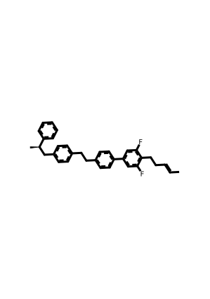 C/C=C/CCc1c(F)cc(-c2ccc(CCc3ccc(C[C@@H](C)c4ccccc4)cc3)cc2)cc1F